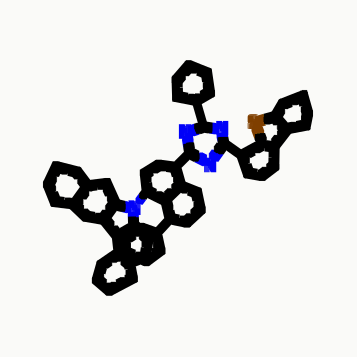 c1ccc(-c2nc(-c3ccc(-n4c5cc6ccccc6cc5c5c6ccccc6ccc54)c4c(-c5ccccc5)cccc34)nc(-c3cccc4c3sc3ccccc34)n2)cc1